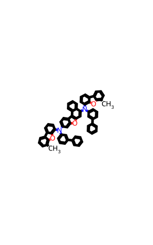 Cc1cccc2c1oc1c(N(c3cccc(-c4ccccc4)c3)c3ccc4c(c3)oc3cc(N(c5cccc(-c6ccccc6)c5)c5cccc6c5oc5c(C)cccc56)c5ccccc5c34)cccc12